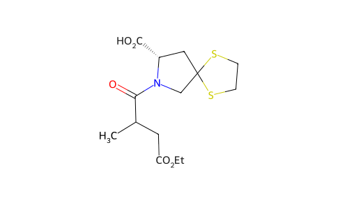 CCOC(=O)CC(C)C(=O)N1CC2(C[C@H]1C(=O)O)SCCS2